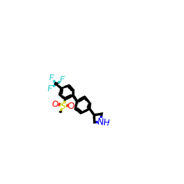 CS(=O)(=O)c1cc(C(F)(F)F)ccc1-c1ccc(C2CNC2)cc1